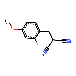 COc1ccc(CC(C#N)C#N)c(F)c1